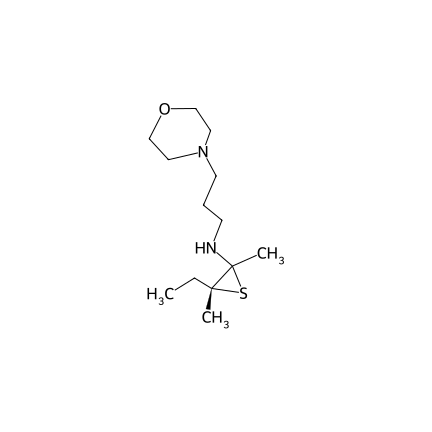 CC[C@@]1(C)SC1(C)NCCCN1CCOCC1